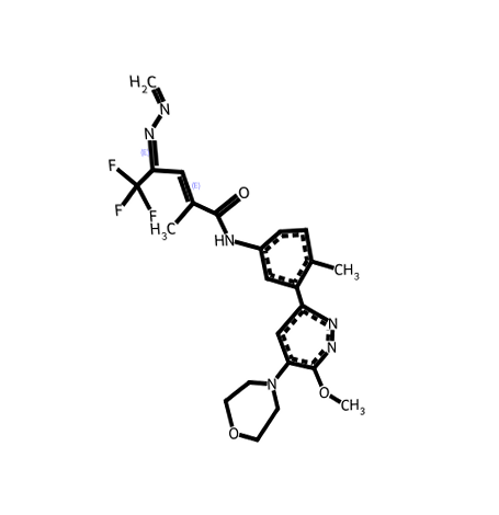 C=N/N=C(\C=C(/C)C(=O)Nc1ccc(C)c(-c2cc(N3CCOCC3)c(OC)nn2)c1)C(F)(F)F